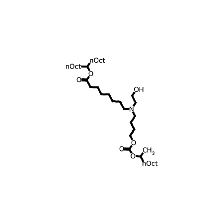 CCCCCCCCC(C)OC(=O)OCCCCN(CCO)CCCCCCCC(=O)OC(CCCCCCCC)CCCCCCCC